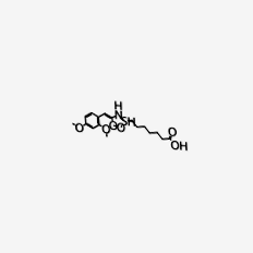 COc1ccc(/C=C2/N[SH](CCCCCCC(=O)O)OO2)c(OC)c1